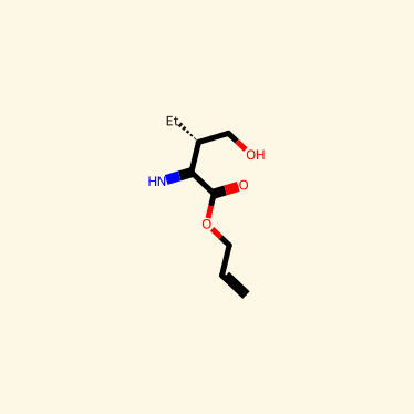 C=CCOC(=O)C(=N)[C@H](CC)CO